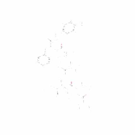 CC[C@H](C)[C@@H]([C@@H](CC(=O)N1CCC[C@H]1[C@H](OC)[C@@H](C)C(=O)NC(Cc1ccccc1)C(=O)NCc1ccc(N)cc1)OC)N(C)C(=O)[C@@H](NC(=O)[C@H](C(C)C)N(C)C)C(C)C